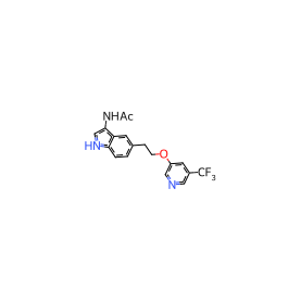 CC(=O)Nc1c[nH]c2ccc(CCOc3cncc(C(F)(F)F)c3)cc12